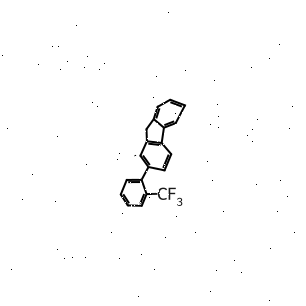 FC(F)(F)c1ccccc1-c1[c]c2c(cc1)-c1ccccc1C2